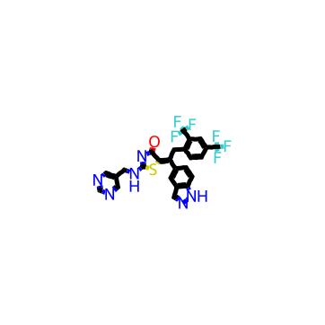 O=C1N=C(NCc2cncnc2)SC1=C(Cc1ccc(C(F)(F)F)cc1C(F)(F)F)c1ccc2[nH]ncc2c1